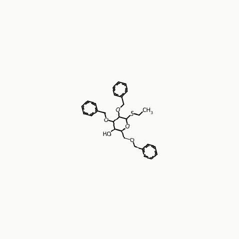 CCSC1OC(COCc2ccccc2)C(O)C(OCc2ccccc2)C1OCc1ccccc1